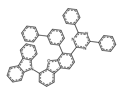 c1ccc(-c2cccc(-c3c(-c4nc(-c5ccccc5)nc(-c5ccccc5)n4)ccc4c3oc3c(-n5c6ccccc6c6ccccc65)cccc34)c2)cc1